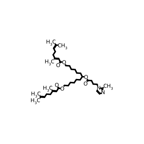 CC(C)=CCC/C(C)=C/C(=O)OCCCCCCC(CCCCCCOC(=O)/C=C(\C)CCC=C(C)C)OC(=O)CCCn1ccnc1C